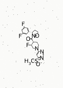 C[S@@+]([O-])c1cc(N2CC[C@H](C(=O)N3OCC[C@H]3c3cc(F)cc(F)c3)[C@H](F)C2)ncn1